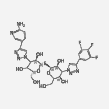 Nc1ccc(-c2cn(C3C(O)[C@@H](CO)O[C@@H](S[C@@H]4OC(CO)[C@H](O)C(n5cc(-c6cc(F)c(F)c(F)c6)nn5)[C@@H]4O)[C@@H]3O)nn2)cn1